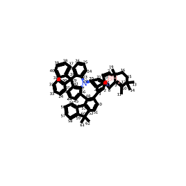 Bc1cc2c(/C(C=C)=C/C3=C(C)C(C)(C)CCC3(C)C)c(c1)N1c3ccccc3C(c3ccccc3)(c3ccccc3)c3cccc(c31)-c1c-2ccc2c1-c1ccccc1C2(C)C